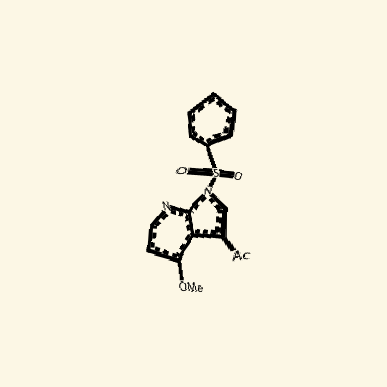 COc1ccnc2c1c(C(C)=O)cn2S(=O)(=O)c1ccccc1